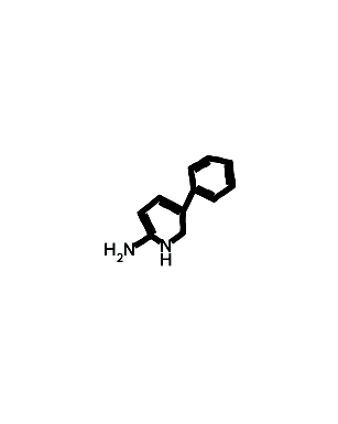 NC1=CC=C(c2ccccc2)CN1